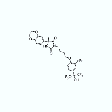 CCCc1cc(C(O)(C(F)(F)F)C(F)(F)F)ccc1OCCCCN1C(=O)NC(C)(c2ccc3c(c2)OCCO3)C1=O